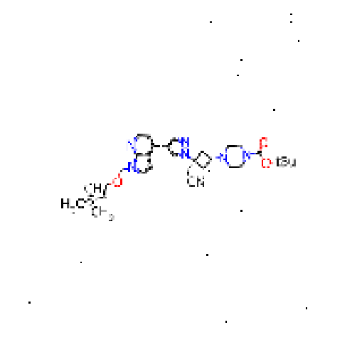 CC(C)(C)OC(=O)N1CCN([C@H]2C[C@@](CC#N)(n3cc(-c4ccnc5c4ccn5COCC[Si](C)(C)C)cn3)C2)CC1